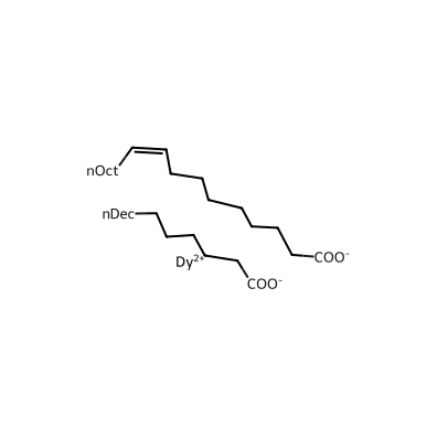 CCCCCCCC/C=C\CCCCCCCC(=O)[O-].CCCCCCCCCCCCCCCC(=O)[O-].[Dy+2]